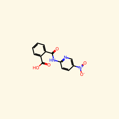 O=C(O)c1ccccc1C(=O)Nc1ccc([N+](=O)[O-])cn1